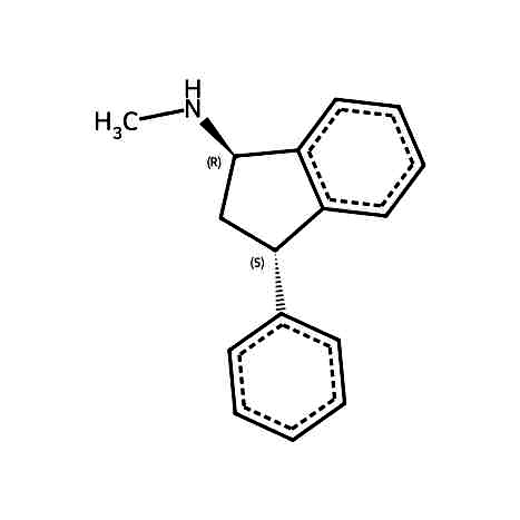 CN[C@@H]1C[C@@H](c2ccccc2)c2ccccc21